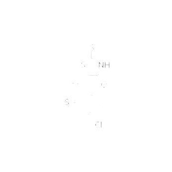 O=C1NC(=S)SC1=C1CCSc2cc(Cl)ccc21